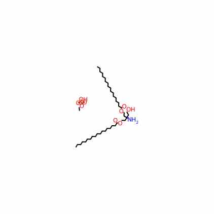 CCCCCCCCCCCCCCCCCC(=O)OCCC(N)(CCO)CCOC(=O)CCCCCCCCCCCCCCCCC.CCOS(=O)(=O)O